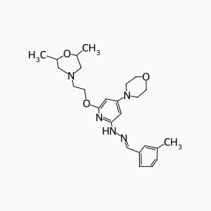 Cc1cccc(C=NNc2cc(N3CCOCC3)cc(OCCN3CC(C)OC(C)C3)n2)c1